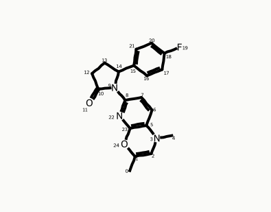 CC1=CN(C)c2ccc(N3C(=O)CCC3c3ccc(F)cc3)nc2O1